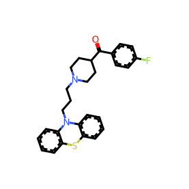 O=C(c1ccc(F)cc1)C1CCN(CCCN2c3ccccc3Sc3ccccc32)CC1